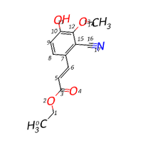 CCOC(=O)C=Cc1ccc(O)c(OC)c1C#N